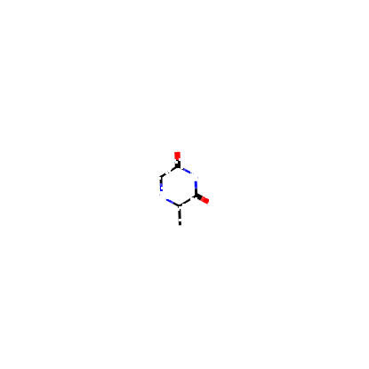 CC1NCC(=O)[N]C1=O